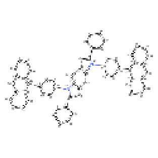 c1ccc(-c2cc3cc4c(cc(-c5ccccc5)n4-c4ccc(-c5c6ccccc6cc6ccccc56)cc4)cc3n2-c2ccc(-c3c4ccccc4cc4ccccc34)cc2)cc1